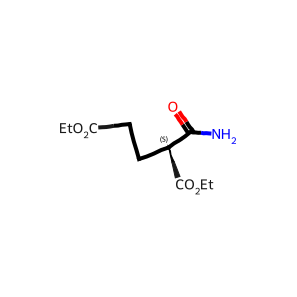 CCOC(=O)CC[C@@H](C(N)=O)C(=O)OCC